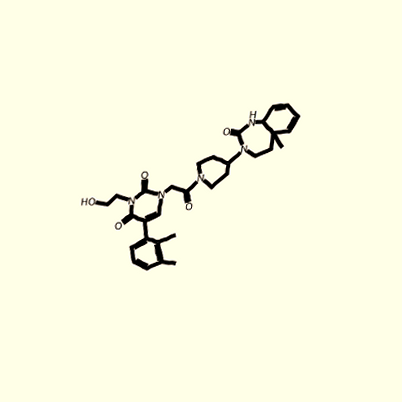 Cc1cccc(-c2cn(CC(=O)N3CCC(N4CCC5(C)C=CC=CC5NC4=O)CC3)c(=O)n(CCO)c2=O)c1C